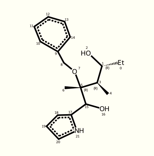 CC[C@@H](O)[C@@H](C)[C@@](C)(OCc1ccccc1)C(O)c1ccc[nH]1